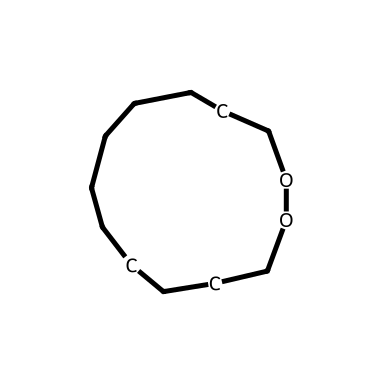 C1CCCCCOOCCCCC1